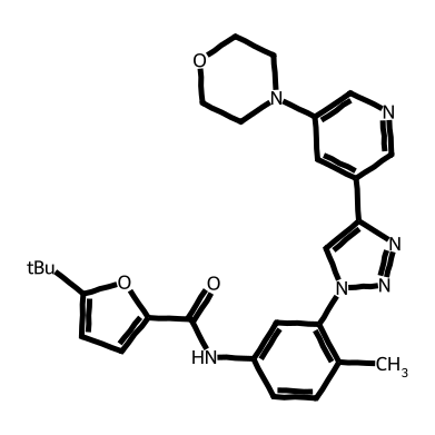 Cc1ccc(NC(=O)c2ccc(C(C)(C)C)o2)cc1-n1cc(-c2cncc(N3CCOCC3)c2)nn1